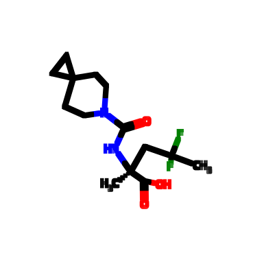 CC(F)(F)C[C@](C)(NC(=O)N1CCC2(CC1)CC2)C(=O)O